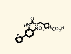 O=C(Nc1cc(-c2cccs2)ccc1[N+](=O)[O-])OCC1CN(C(=O)O)C1